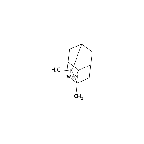 CNC1C2CC3CC1CC(C)(C2)N3C